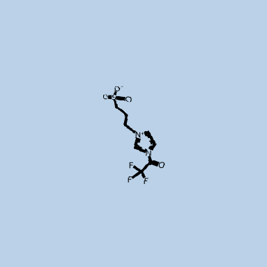 O=C(n1cc[n+](CCCS(=O)(=O)[O-])c1)C(F)(F)F